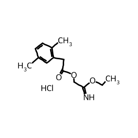 CCOC(=N)COC(=O)Cc1cc(C)ccc1C.Cl